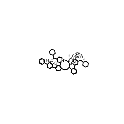 C=C1C[n+]2ccc(C(C)C3CCCCC3)cc2-c2c(ccc3c2oc2nc(-c4ccccc4)ccc23)CCC2c3ccccc3-c3cc(CC4CCCCC4)c([Si](C)(C)C)c[n+]3C12